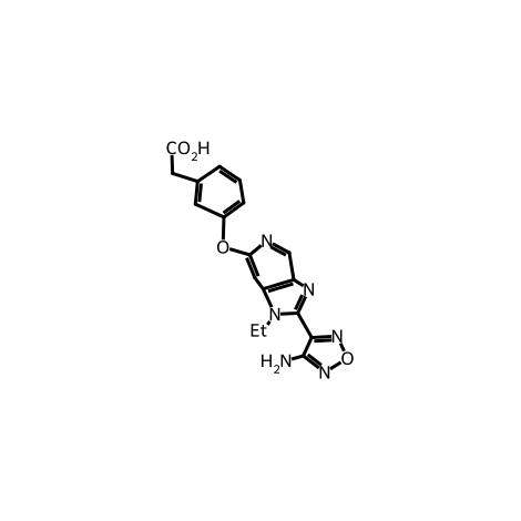 CCn1c(-c2nonc2N)nc2cnc(Oc3cccc(CC(=O)O)c3)cc21